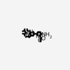 COC(=O)c1nc(-c2cnc3c(c2)cc(C)n3[Si](C(C)C)(C(C)C)C(C)C)ccc1N